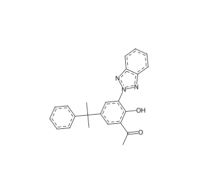 CC(=O)c1cc(C(C)(C)c2ccccc2)cc(-n2nc3ccccc3n2)c1O